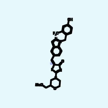 COCC1CN(C2=NC(=O)/C(=C\c3ccc4c(cnn4Cc4ccc(O)cc4C(F)(F)F)c3)S2)CCO1